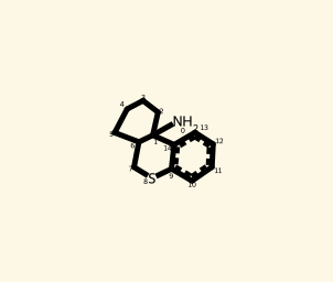 NC12CCCCC1CSc1ccccc12